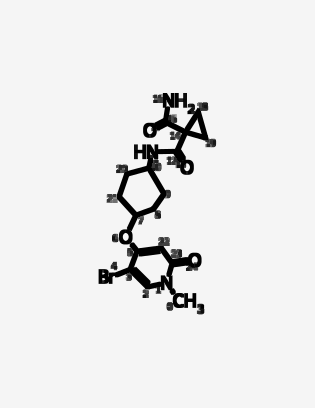 Cn1cc(Br)c(OC2CCC(NC(=O)C3(C(N)=O)CC3)CC2)cc1=O